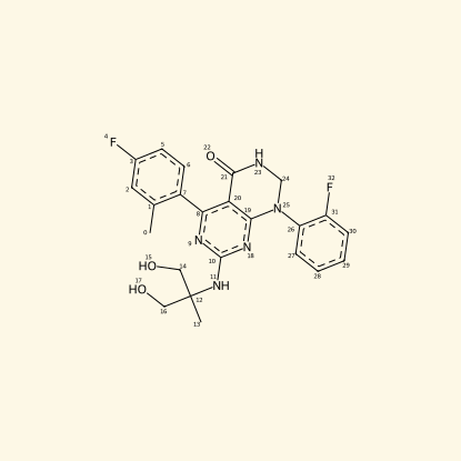 Cc1cc(F)ccc1-c1nc(NC(C)(CO)CO)nc2c1C(=O)NCN2c1ccccc1F